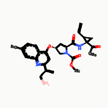 BCC(=C)c1cc(O[C@@H]2C[C@@H](C(=O)N[C@]3(C(=O)OC)CC3C=C)N(C(=O)OC(C)(C)C)C2)c2ccc(OC)cc2n1